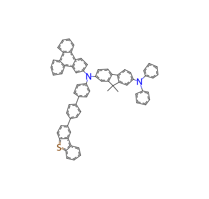 CC1(C)c2cc(N(c3ccccc3)c3ccccc3)ccc2-c2ccc(N(c3ccc(-c4ccc(-c5ccc6sc7ccccc7c6c5)cc4)cc3)c3ccc4c5ccccc5c5ccccc5c4c3)cc21